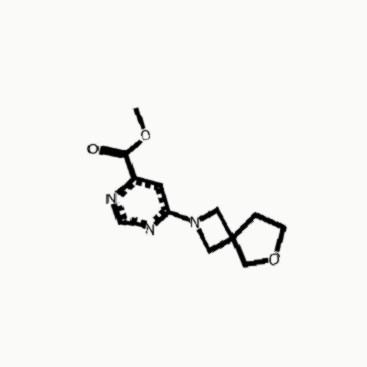 COC(=O)c1cc(N2CC3(CCOC3)C2)ncn1